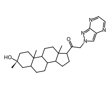 CC12CC[C@@](C)(O)CC1CCC1C2CCC2(C)C(C(=O)Cn3cc4nccnc4n3)CCC12